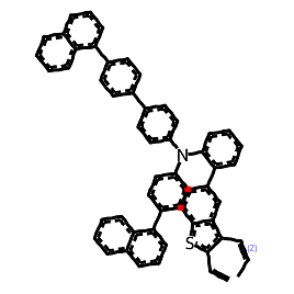 C=Cc1sc2ccc(-c3ccccc3N(c3ccc(-c4ccc(-c5cccc6ccccc56)cc4)cc3)c3ccc(-c4cccc5ccccc45)cc3)cc2c1/C=C\C